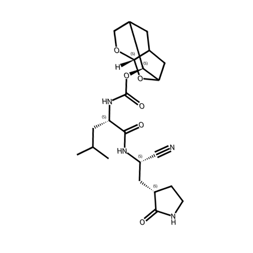 CC(C)C[C@H](NC(=O)O[C@H]1C2CO[C@H]3OC1CC3C2)C(=O)N[C@H](C#N)C[C@@H]1CCNC1=O